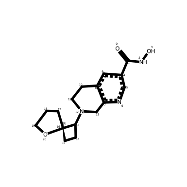 O=C(NO)c1cnc2c(c1)CCN(C1CC[C@@]13CCCO3)C2